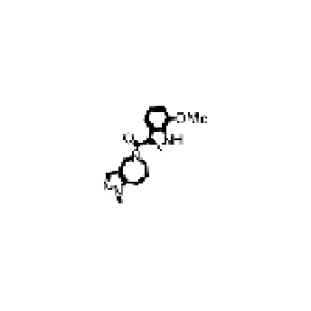 COc1cccc2c(C(=O)N3CCCc4c(cnn4C)C3)n[nH]c12